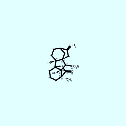 C=C1C[C@]23CC1CC[C@H]2C12CCC[C@](C)(C(=O)O1)[C@H]2[C@@H]3C(=O)O